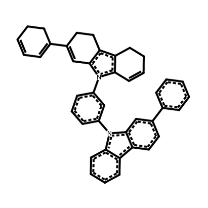 C1=CCCC(C2=Cc3c(c4c(n3-c3cccc(-n5c6ccccc6c6ccc(-c7ccccc7)cc65)c3)C=CCC4)CC2)=C1